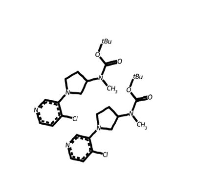 CN(C(=O)OC(C)(C)C)C1CCN(c2cnccc2Cl)C1.CN(C(=O)OC(C)(C)C)C1CCN(c2cnccc2Cl)C1